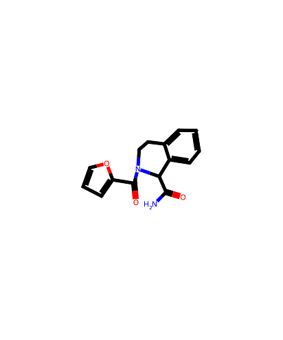 NC(=O)C1c2cc[c]cc2CCN1C(=O)c1ccco1